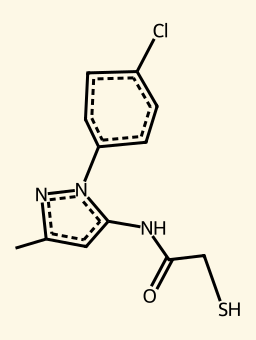 Cc1cc(NC(=O)CS)n(-c2ccc(Cl)cc2)n1